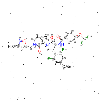 COc1cc(F)c([C@@H]2CN(c3c(C)ccn(Cc4cc(C)no4)c3=O)C(=O)C2NC(=O)c2ccc(OC(F)F)cc2)c(F)c1